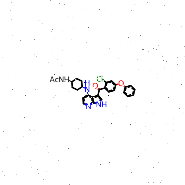 CC(=O)N[C@H]1CC[C@@H](Nc2ccnc3[nH]cc(C(=O)c4ccc(Oc5ccccc5)cc4Cl)c23)CC1